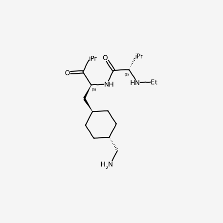 CCN[C@H](C(=O)N[C@@H](C[C@H]1CC[C@H](CN)CC1)C(=O)C(C)C)C(C)C